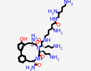 NCCC[C@H](N)CNC(=O)C[C@@H](N)CCCNC(=O)[C@H](CCCN)N1C(=O)[C@@H](N)Cc2cc(ccc2O)-c2cccc(c2)C[C@@H](C(N)=O)NC(=O)[C@@H]1CCCN